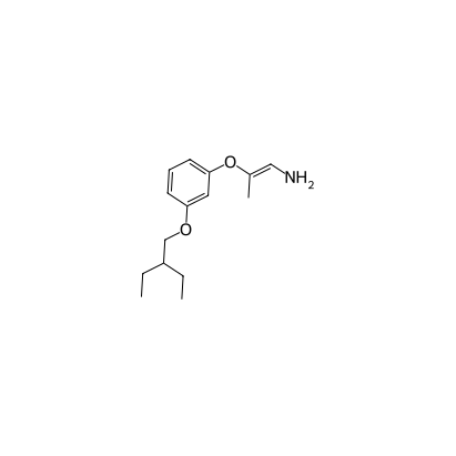 CCC(CC)COc1cccc(O/C(C)=C/N)c1